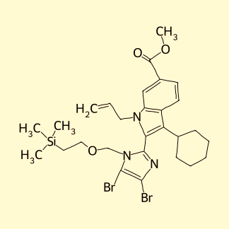 C=CCn1c(-c2nc(Br)c(Br)n2COCC[Si](C)(C)C)c(C2CCCCC2)c2ccc(C(=O)OC)cc21